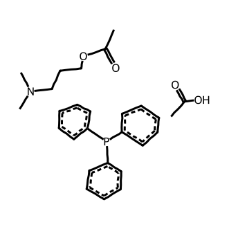 CC(=O)O.CC(=O)OCCCN(C)C.c1ccc(P(c2ccccc2)c2ccccc2)cc1